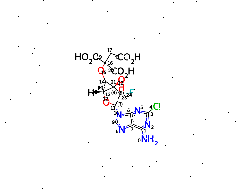 Nc1nc(Cl)nc2c1ncn2[C@@H]1O[C@@H]2C(OC(CC(=O)O)(C(=O)O)C(=O)O)[C@]2(O)[C@@H]1F